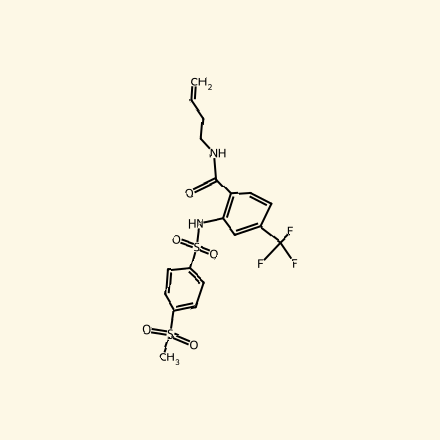 C=CCCNC(=O)c1ccc(C(F)(F)F)cc1NS(=O)(=O)c1ccc(S(C)(=O)=O)cc1